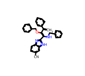 C=C(/C(OCc1ccccc1)=C(\NCc1ccccc1)c1nc2ccc(C#N)cc2[nH]1)c1ccccc1